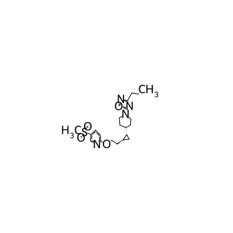 CCCc1noc(N2CCC([C@@H]3C[C@H]3CCOc3ccc(S(C)(=O)=O)cn3)CC2)n1